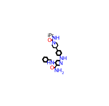 CC(C)NC(=O)N1CCC(c2ccc(Nc3cc(NCc4ccccc4)c(C(N)=O)cn3)cc2)CC1